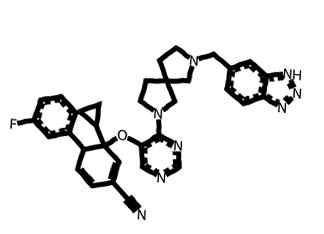 N#CC1=CC(Oc2cncnc2N2CCC3(CCN(Cc4ccc5nn[nH]c5c4)C3)C2)(C2CC2)C(c2cccc(F)c2)C=C1